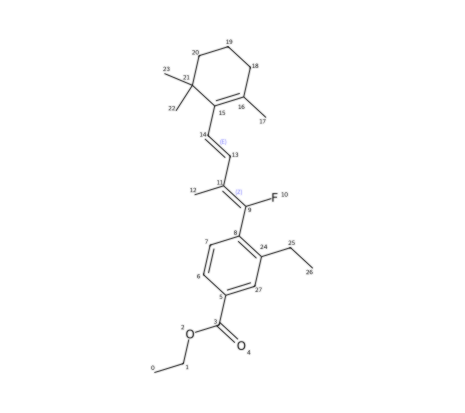 CCOC(=O)c1ccc(/C(F)=C(C)/C=C/C2=C(C)CCCC2(C)C)c(CC)c1